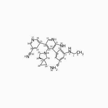 CCNc1cc(F)cc2c1[nH]c1ncc(-c3cncc(C#N)c3)c(N3CC[C@@]4(C[C@H]4N)C3)c12